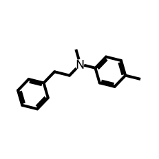 Cc1ccc(N(C)CCc2ccccc2)cc1